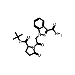 CC(C)(C)OC(=O)C1CCC(=O)N1C(=O)Cn1nc(C(N)=O)c2ccccc21